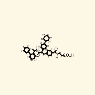 CC(NC(=O)C(Cc1ccc(C(=O)NCCC(=O)O)cc1)c1ccc(C2=CCCCC2)cc1)c1ccccc1-c1ccccc1